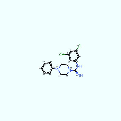 N=C(Nc1cc(Cl)cc(Cl)c1)N1CCN(c2ccccc2)CC1